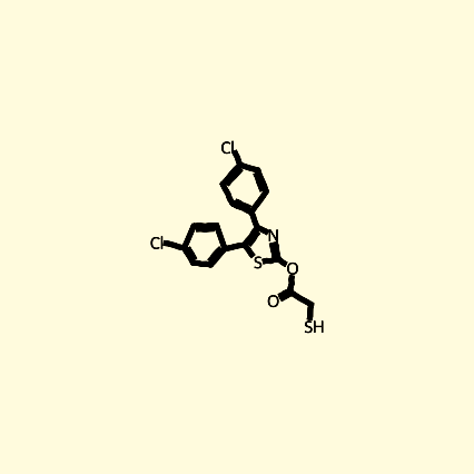 O=C(CS)Oc1nc(-c2ccc(Cl)cc2)c(-c2ccc(Cl)cc2)s1